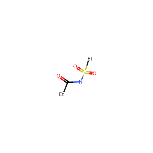 CCC(=O)[N]S(=O)(=O)CC